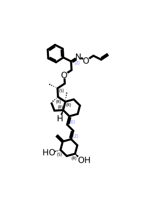 C=CCO/N=C(\COC[C@@H](C)[C@H]1CC[C@H]2/C(=C/C=C3/C[C@@H](O)C[C@H](O)C3=C)CCC[C@]12C)c1ccccc1